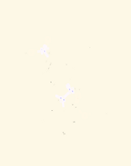 CCc1cc2nn(C3(C(=O)OC)CCCCC3)cc2cc1[N+](=O)[O-]